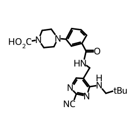 CC(C)(C)CNc1nc(C#N)ncc1CNC(=O)c1cccc(N2CCN(C(=O)O)CC2)c1